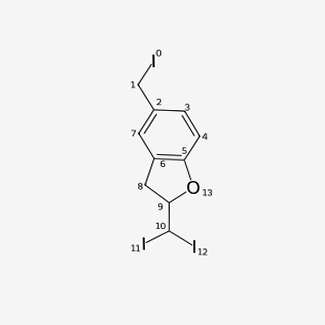 ICc1ccc2c(c1)CC(C(I)I)O2